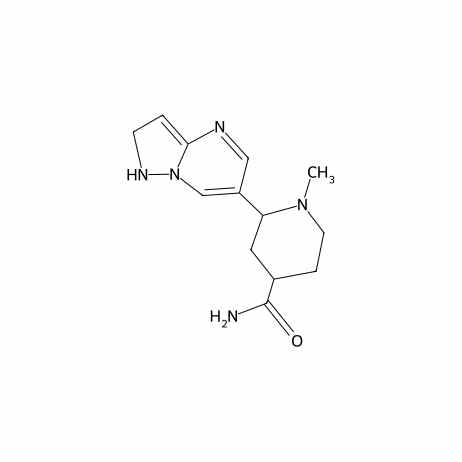 CN1CCC(C(N)=O)CC1C1=CN2NCC=C2N=C1